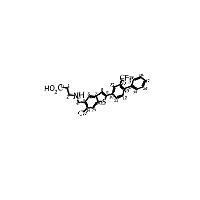 O=C(O)CCNCc1cc2cc(-c3ccc(-c4ccccc4)c(C(F)(F)F)c3)sc2cc1Cl